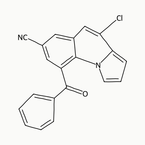 N#Cc1cc(C(=O)c2ccccc2)c2c(c1)cc(Cl)c1cccn12